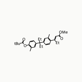 CCC(=CC(=O)OC)c1ccc(C(CC)(CC)c2ccc(OC(=O)C(C)(C)C)c(C)c2)cc1C